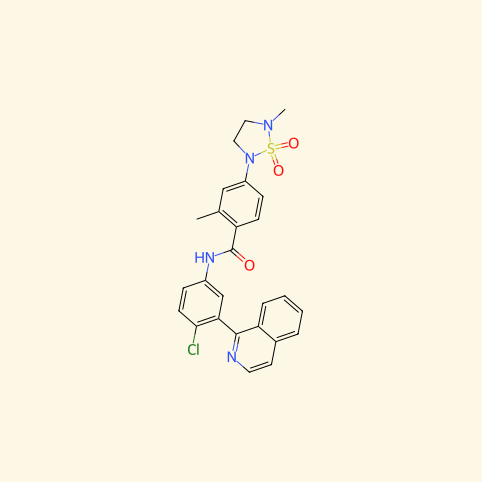 Cc1cc(N2CCN(C)S2(=O)=O)ccc1C(=O)Nc1ccc(Cl)c(-c2nccc3ccccc23)c1